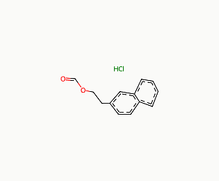 Cl.O=COCCc1ccc2ccccc2c1